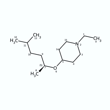 CCN1CCC(O[C@@H](C)CCC(C)C)CC1